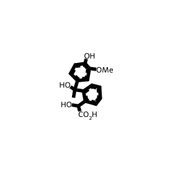 COc1cc(C(C)(O)c2ccccc2C(O)C(=O)O)ccc1O